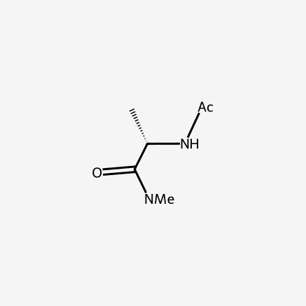 CNC(=O)[C@H](C)NC(C)=O